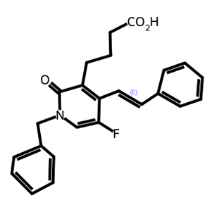 O=C(O)CCCc1c(/C=C/c2ccccc2)c(F)cn(Cc2ccccc2)c1=O